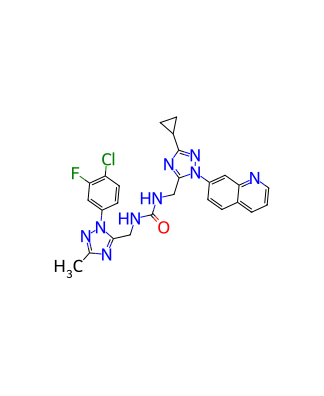 Cc1nc(CNC(=O)NCc2nc(C3CC3)nn2-c2ccc3cccnc3c2)n(-c2ccc(Cl)c(F)c2)n1